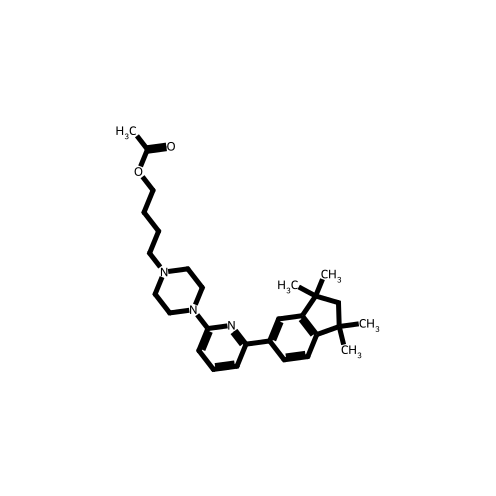 CC(=O)OCCCCN1CCN(c2cccc(-c3ccc4c(c3)C(C)(C)CC4(C)C)n2)CC1